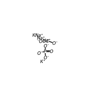 O=C([O-])[O-].O=P([O-])([O-])[O-].[K+].[K+].[Na+].[Na+].[Na+]